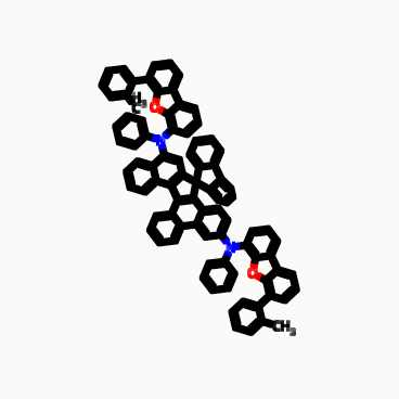 Cc1ccccc1-c1cccc2c1oc1c(N(c3ccccc3)c3ccc4c5c(c6ccccc6c4c3)-c3c(cc(N(c4ccccc4)c4cccc6c4oc4c(-c7ccccc7C)cccc46)c4ccccc34)C53c4ccccc4-c4ccccc43)cccc12